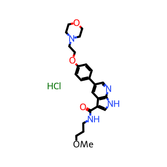 COCCCNC(=O)c1c[nH]c2ncc(-c3ccc(OCCN4CCOCC4)cc3)cc12.Cl